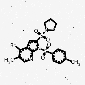 Cc1ccc(S(=O)(=O)n2c(S(=O)(=O)N3CCCC3)cc3c(Br)c(C)cnc32)cc1